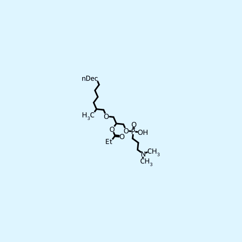 CCCCCCCCCCCCCCC(C)COCC(COP(=O)(O)CCCN(C)C)OC(=O)CC